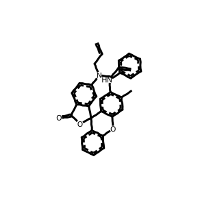 C=CCN(CC=C)c1ccc2c(c1)C1(OC2=O)c2ccccc2Oc2cc(C)c(Nc3ccccc3)cc21